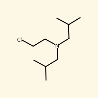 CC(C)CN(CCCl)CC(C)C